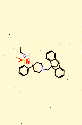 CCNS(=O)(=O)c1ccccc1C1(O)CCN(CC23CC(c4ccccc42)c2ccccc23)CC1